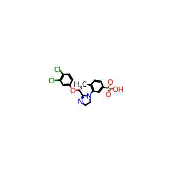 Cc1ccc(S(=O)(=O)O)cc1N1CCN=C1COc1ccc(Cl)c(Cl)c1